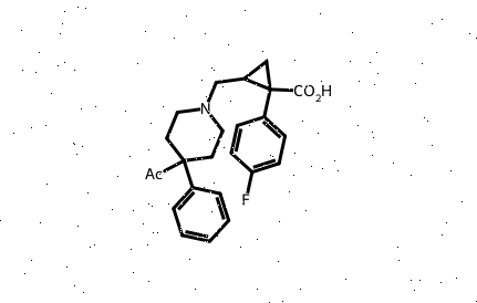 CC(=O)C1(c2ccccc2)CCN(CC2CC2(C(=O)O)c2ccc(F)cc2)CC1